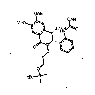 COC(=O)Nc1ccccc1[C@H]1[C@@H](C(=O)O)c2cc(OC)c(OC)cc2C(=O)N1CCCO[Si](C)(C)C(C)(C)C